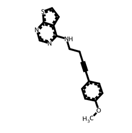 COc1ccc(C#CCCNc2ncnc3sccc23)cc1